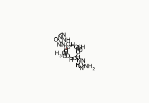 C[P@]1(=O)OC[C@H]2C[C@@H](n3cnc4c(N)ncnc43)[C@@H]2CO[P@@](=O)(S)OC[C@@H]2C[C@@H](O1)[C@H](n1cnc3c(=O)n4ccnc4[nH]c31)O2